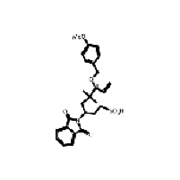 C=C[C@H](OCc1ccc(OC)cc1)C(C)(C)CC(CCS(=O)(=O)O)N1C(=O)c2ccccc2C1=O